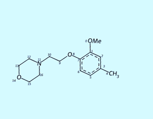 COc1cc(C)ccc1OCCN1CCOCC1